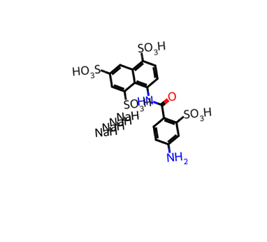 Nc1ccc(C(=O)Nc2ccc(S(=O)(=O)O)c3cc(S(=O)(=O)O)cc(S(=O)(=O)O)c23)c(S(=O)(=O)O)c1.[NaH].[NaH].[NaH].[NaH]